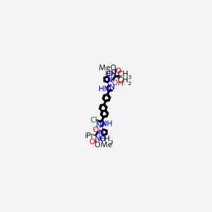 C=C(C)[C@H](NC(=O)OC)C(O)N1[C@@H](C)CC[C@H]1c1ncc(-c2ccc(-c3ccc4cc(-c5[nH]c([C@@H]6CC[C@H](C)N6C(=O)[C@@H](NC(=O)OC)C(C)C)nc5Cl)ccc4c3)cc2)[nH]1